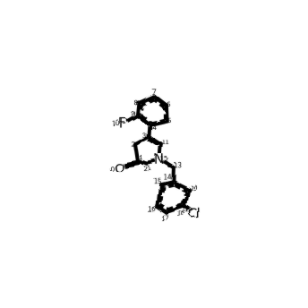 O=C1CC(c2ccccc2F)=CN(Cc2cccc(Cl)c2)C1